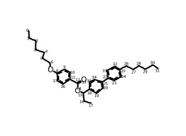 CCCCCCCOc1ccc(C(=O)OC(CC)c2ccc(-c3ccc(CCCCCC)cc3)cc2)cc1